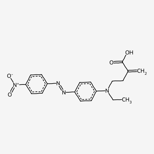 C=C(CCN(CC)c1ccc(N=Nc2ccc([N+](=O)[O-])cc2)cc1)C(=O)O